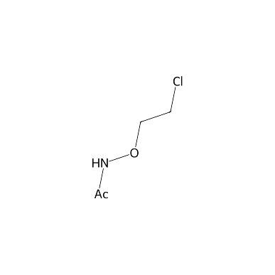 CC(=O)NOCCCl